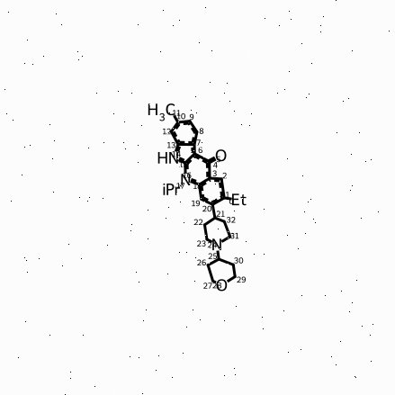 CCc1cc2c(=O)c3c4ccc(C)cc4[nH]c3n(C(C)C)c2cc1C1CCN(C2CCOCC2)CC1